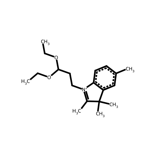 CCOC(CC[N+]1=C(C)C(C)(C)c2cc(C)ccc21)OCC